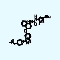 CN(C)CC1CCN(c2nnc3ccc(O[C@@H]4CC[C@H](NC(=O)Nc5cc(C(C)(C)C)nn5C)c5ccccc54)cn23)CC1